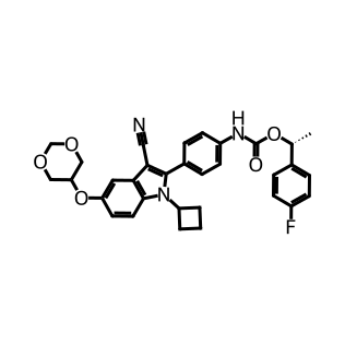 C[C@@H](OC(=O)Nc1ccc(-c2c(C#N)c3cc(OC4COCOC4)ccc3n2C2CCC2)cc1)c1ccc(F)cc1